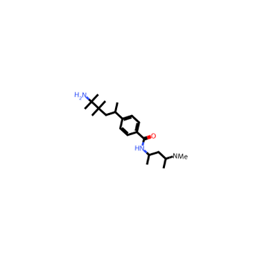 CNC(C)CC(C)NC(=O)c1ccc(C(C)CC(C)(C)C(C)(C)N)cc1